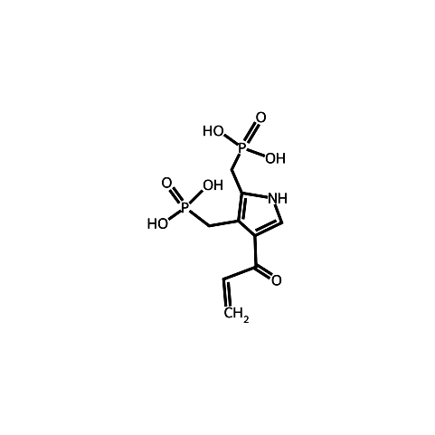 C=CC(=O)c1c[nH]c(CP(=O)(O)O)c1CP(=O)(O)O